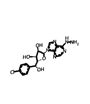 NNc1ncnc2c1ncn2[C@@H]1O[C@H]([C@H](O)c2ccc(Cl)cc2)[C@@H](O)[C@H]1O